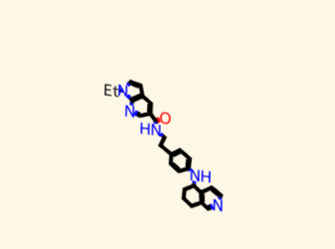 CCn1ccc2cc(C(=O)NCCc3ccc(NC4CCCc5cnccc54)cc3)cnc21